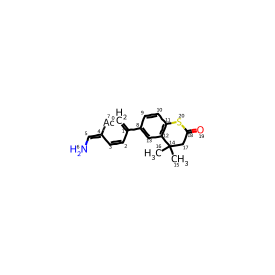 C=C(/C=C\C(=C/N)C(C)=O)c1ccc2c(c1)C(C)(C)CC(=O)S2